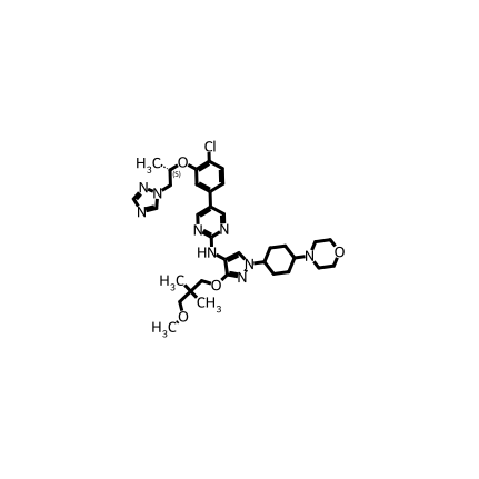 COCC(C)(C)COc1nn(C2CCC(N3CCOCC3)CC2)cc1Nc1ncc(-c2ccc(Cl)c(O[C@@H](C)Cn3cncn3)c2)cn1